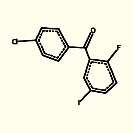 O=C(c1ccc(Cl)cc1)c1cc(I)ccc1F